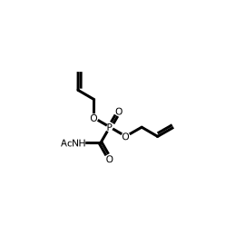 C=CCOP(=O)(OCC=C)C(=O)NC(C)=O